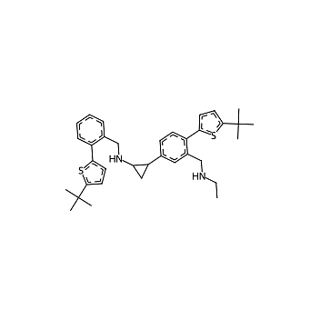 CCNCc1cc(C2CC2NCc2ccccc2-c2ccc(C(C)(C)C)s2)ccc1-c1ccc(C(C)(C)C)s1